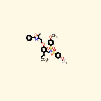 Cc1oc(-c2ccccc2)nc1CCOc1ccc(CCC(=O)O)c(CN(S(=O)(=O)c2ccc(OC(F)(F)F)cc2)S(=O)(=O)c2ccc(OC(F)(F)F)cc2)c1